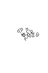 Cc1c(C(=O)NC[C@@H]2CCCO2)oc2c1-c1nn(C[C@H]3COCCO3)cc1C1(CC1)C2